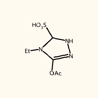 CCN1C(OC(C)=O)=NNC1S(=O)(=O)O